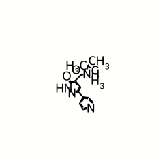 CC(C)(C)NC(=O)c1cc(-c2ccncc2)n[nH]c1=O